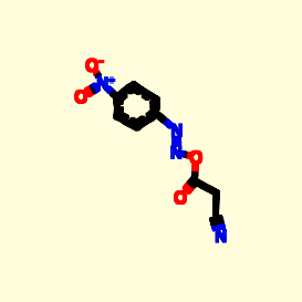 N#CCC(=O)ON=Nc1ccc([N+](=O)[O-])cc1